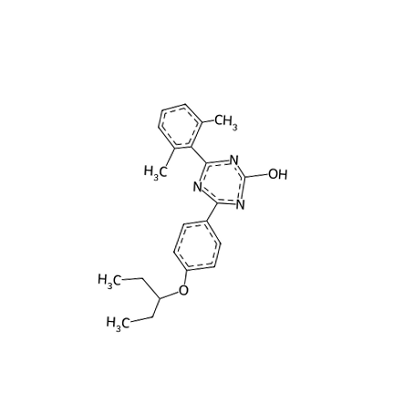 CCC(CC)Oc1ccc(-c2nc(O)nc(-c3c(C)cccc3C)n2)cc1